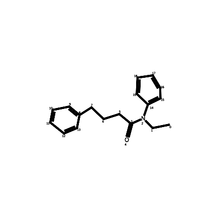 CCN(C(=O)CCCc1ccccc1)c1ccccc1